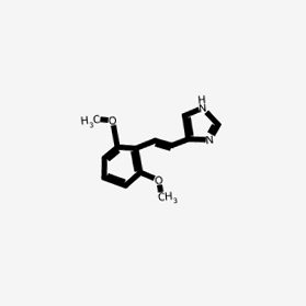 COc1cccc(OC)c1C=Cc1c[nH]cn1